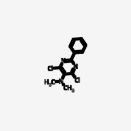 CN(C)c1c(Cl)nc(-c2ccccc2)nc1Cl